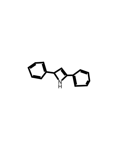 C1=C(c2ccccc2)NC1c1ccccc1